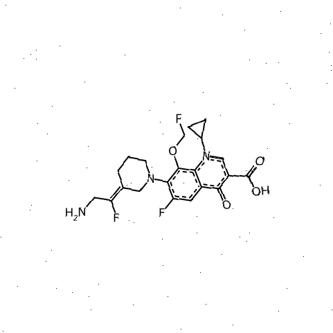 NCC(F)=C1CCCN(c2c(F)cc3c(=O)c(C(=O)O)cn(C4CC4)c3c2OCF)C1